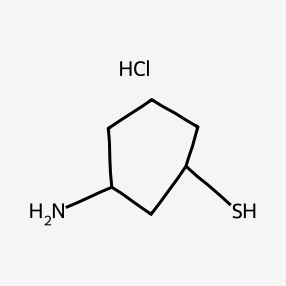 Cl.NC1CCCC(S)C1